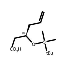 C=CC[C@H](CC(=O)O)O[Si](C)(C)C(C)(C)C